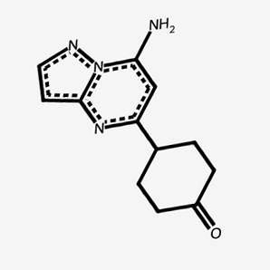 Nc1cc(C2CCC(=O)CC2)nc2ccnn12